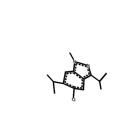 CC(C)c1cc2c(cc1Cl)c(C(C)C)nn2C